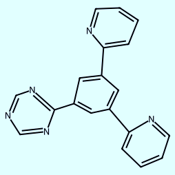 c1ccc(-c2cc(-c3ccccn3)cc(-c3ncncn3)c2)nc1